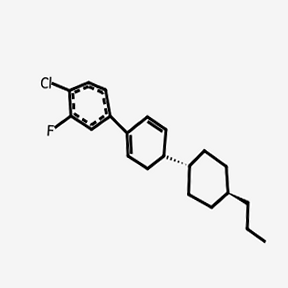 CCC[C@H]1CC[C@H](C2C=CC(c3ccc(Cl)c(F)c3)=CC2)CC1